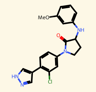 COc1cccc(NC2CCN(c3ccc(-c4cn[nH]c4)c(Cl)c3)C2=O)c1